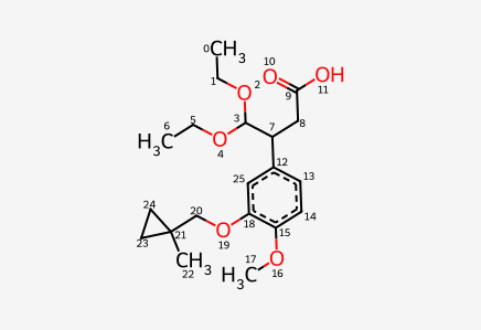 CCOC(OCC)C(CC(=O)O)c1ccc(OC)c(OCC2(C)CC2)c1